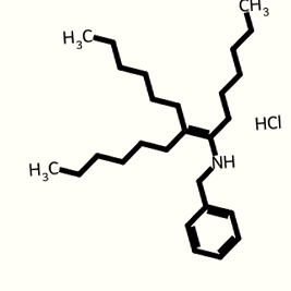 CCCCCCC(CCCCCC)=C(CCCCCC)NCc1ccccc1.Cl